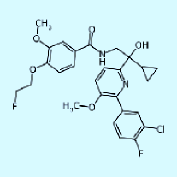 COc1cc(C(=O)NCC(O)(c2ccc(OC)c(-c3ccc(F)c(Cl)c3)n2)C2CC2)ccc1OCCF